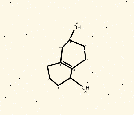 OC1CCC2=C(CCCC2O)C1